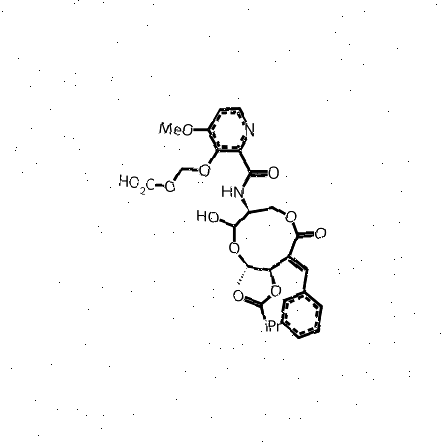 COc1ccnc(C(=O)N[C@H]2COC(=O)/C(=C/c3ccccc3)[C@@H](OC(=O)C(C)C)[C@H](C)OC2O)c1OCOC(=O)O